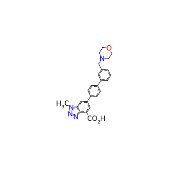 Cn1nnc2c(C(=O)O)cc(-c3ccc(-c4cccc(CN5CCOCC5)c4)cc3)cc21